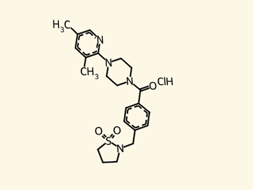 Cc1cnc(N2CCN(C(=O)c3ccc(CN4CCCS4(=O)=O)cc3)CC2)c(C)c1.Cl